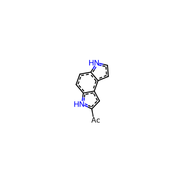 CC(=O)c1cc2c(ccc3[nH]ccc32)[nH]1